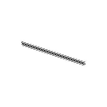 S=S=S=S=S=S=S=S=S=S=S=S=S=S=S=S=S=S=S=S=S=S=S=S=S=S=S=S=S=S=S=S=S=S=S=S=S=S=S=S=S=S=S=S=S=S=S